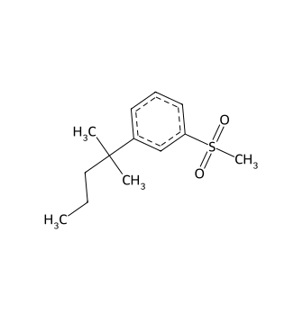 CCCC(C)(C)c1cccc(S(C)(=O)=O)c1